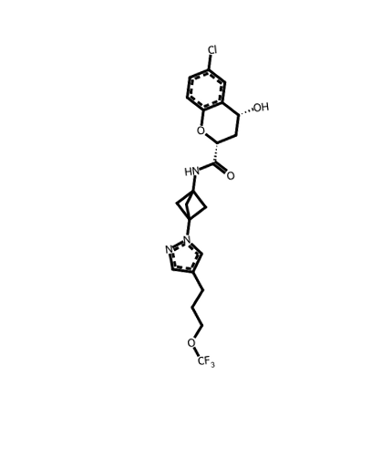 O=C(NC12CC(n3cc(CCCOC(F)(F)F)cn3)(C1)C2)[C@H]1C[C@@H](O)c2cc(Cl)ccc2O1